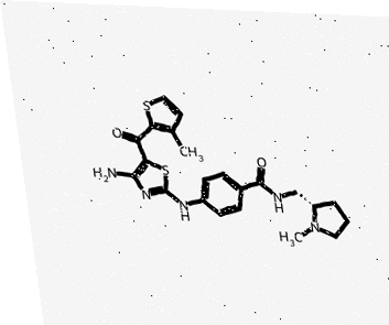 Cc1ccsc1C(=O)c1sc(Nc2ccc(C(=O)NC[C@@H]3CCCN3C)cc2)nc1N